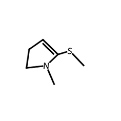 CSC1=CCCN1C